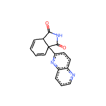 O=C1NC(=O)C2(c3ccc4ncccc4n3)C=CC=CC12